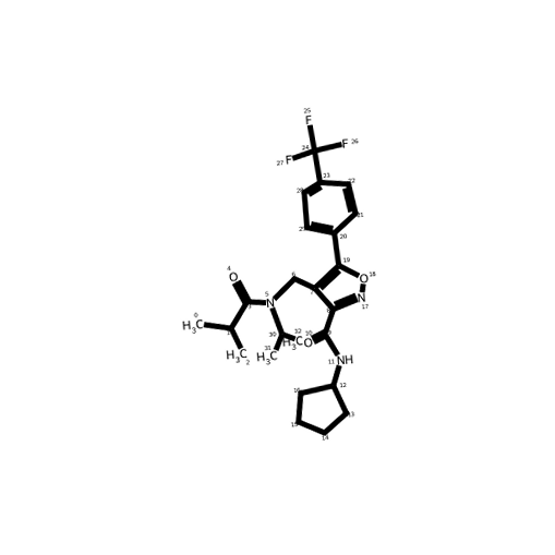 CC(C)C(=O)N(Cc1c(C(=O)NC2CCCC2)noc1-c1ccc(C(F)(F)F)cc1)C(C)C